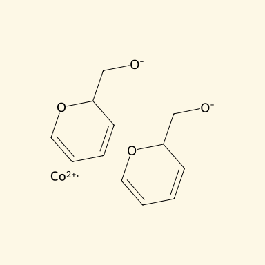 [Co+2].[O-]CC1C=CC=CO1.[O-]CC1C=CC=CO1